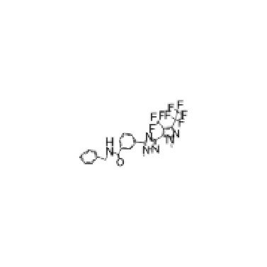 Cn1nc(-c2c(C(F)(F)F)c(C(F)(F)C(F)(F)F)nn2C)nc1-c1cccc(C(=O)NCc2ccccc2)c1